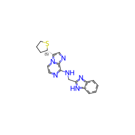 c1ccc2[nH]c(CNc3nccn4c([C@@H]5CCCS5)cnc34)nc2c1